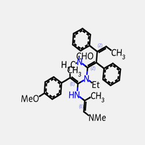 C/C=C(\C(=C(/N(C)C=O)N(CC)/C(N/C(C)=C/NC)=C(\C)c1ccc(OC)cc1)c1ccccc1)c1ccccc1